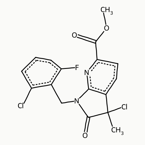 COC(=O)c1ccc2c(n1)N(Cc1c(F)cccc1Cl)C(=O)C2(C)Cl